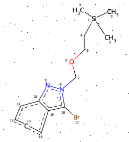 C[Si](C)(C)CCOCn1nc2ccccc2c1Br